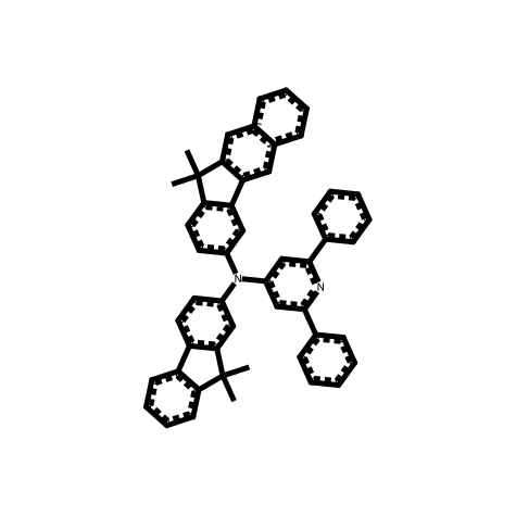 CC1(C)c2ccccc2-c2ccc(N(c3cc(-c4ccccc4)nc(-c4ccccc4)c3)c3ccc4c(c3)-c3cc5ccccc5cc3C4(C)C)cc21